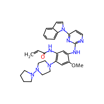 C=CC(=O)Nc1cc(Nc2nccc(-n3ccc4ccccc43)n2)c(OC)cc1N1CCN(N2CCCC2)CC1